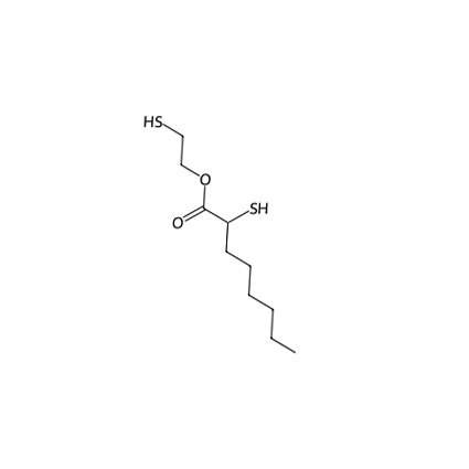 CCCCCCC(S)C(=O)OCCS